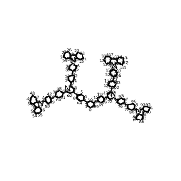 c1cc(-c2ccc(-c3cc(-c4ccc(-c5ccc(-n6c7ccccc7c7ccccc76)cc5)cc4)nc(-c4ccc(-c5ccc(-n6c7ccccc7c7ccccc76)cc5)cc4)c3)cc2)cc(-c2ccc(-c3cc(-c4ccc(-c5ccc(-n6c7ccccc7c7ccccc76)cc5)cc4)nc(-c4ccc(-c5ccc(-n6c7ccccc7c7ccccc76)cc5)cc4)c3)cc2)c1